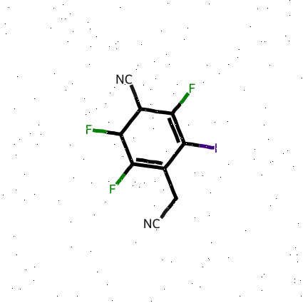 N#CCC1=C(F)C(F)C(C#N)C(F)=C1I